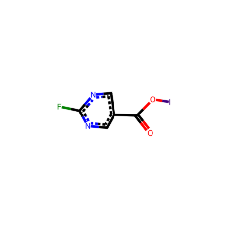 O=C(OI)c1cnc(F)nc1